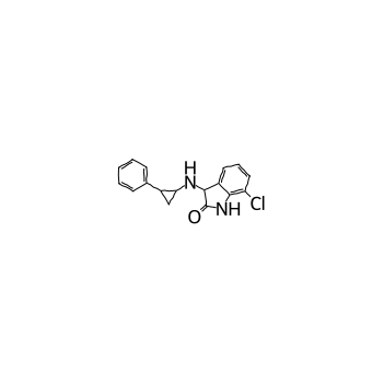 O=C1Nc2c(Cl)cccc2C1NC1CC1c1ccccc1